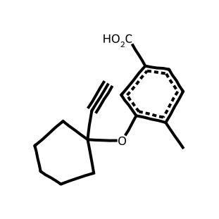 C#CC1(Oc2cc(C(=O)O)ccc2C)CCCCC1